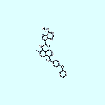 Cc1ccc2c(Nc3ccc(Oc4ccccc4)cc3)nccc2c1NC(=O)c1csc2c(N)ncnc12